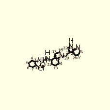 O=C(Nc1ccccc1Cl)Nc1cccc2c1ccn2Cc1c[nH]c2ncccc12